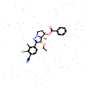 CCO[C@@H]1C(c2ccc(C#N)c(Cl)c2C)=NN2CC[C@@H](OC(=O)c3ccccc3)[C@@H]12